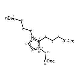 CCCCCCCCCCCCCc1n(CCCCCCCCCCCCC)cc[n+]1CCCCCCCCCCC